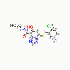 O=C(O)CNC(=O)c1c(O)cc(SCc2cc(I)ccc2Cl)n2ncnc12